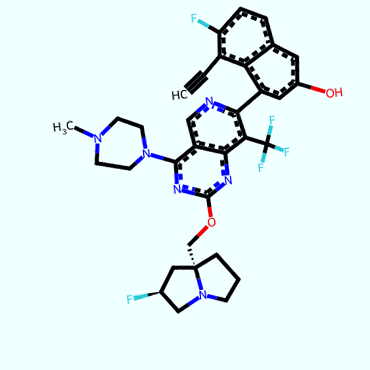 C#Cc1c(F)ccc2cc(O)cc(-c3ncc4c(N5CCN(C)CC5)nc(OC[C@]56CCCN5C[C@@H](F)C6)nc4c3C(F)(F)F)c12